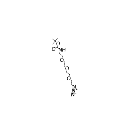 CC(C)(C)OC(=O)NCCOCCOCCOCCN=[N+]=[N-]